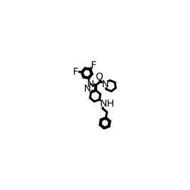 O=C(c1c2c(nn1-c1cc(F)cc(F)c1)CCC(NCCc1ccccc1)C2)N1CCCCC1